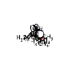 COc1cc2ccnc(O[C@@H]3C[C@H]4C(=O)NC5(C(=O)NS(=O)(=O)C6(CF)CC6)CC5/C=C\CC[C@@H](C)C[C@@H](C)[C@H](NC(=O)C(C)(C)C)C(=O)N4C3)c2cc1F